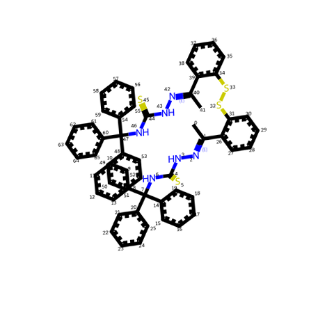 C/C(=N\NC(=S)NC(c1ccccc1)(c1ccccc1)c1ccccc1)c1ccccc1SSc1ccccc1/C(C)=N/NC(=S)NC(c1ccccc1)(c1ccccc1)c1ccccc1